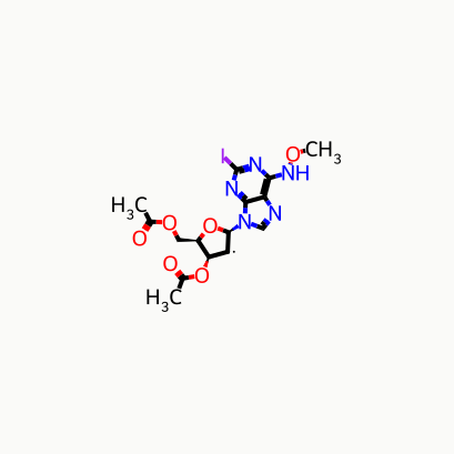 CONc1nc(I)nc2c1ncn2[C@H]1[CH][C@@H](OC(C)=O)[C@@H](COC(C)=O)O1